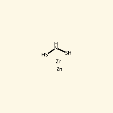 SNS.[Zn].[Zn]